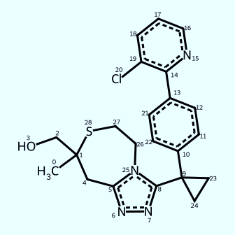 CC1(CO)Cc2nnc(C3(c4ccc(-c5ncccc5Cl)cc4)CC3)n2CCS1